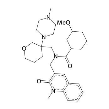 COC1CCCC(C(=O)N(Cc2cc3ccccc3n(C)c2=O)CC2(N3CCN(C)CC3)CCCOC2)C1